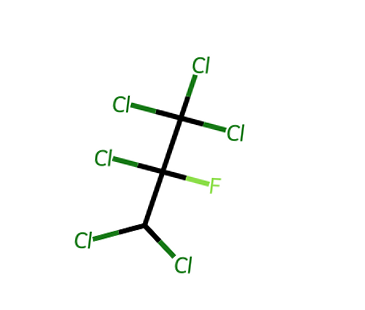 FC(Cl)(C(Cl)Cl)C(Cl)(Cl)Cl